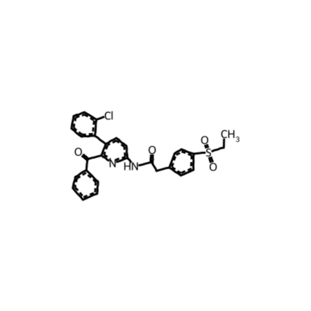 CCS(=O)(=O)c1ccc(CC(=O)Nc2ccc(-c3ccccc3Cl)c(C(=O)c3ccccc3)n2)cc1